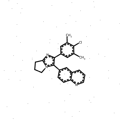 Cc1cc(-c2nc3n(c2-c2ccc4ncccc4c2)CCC3)cc(C)c1Cl